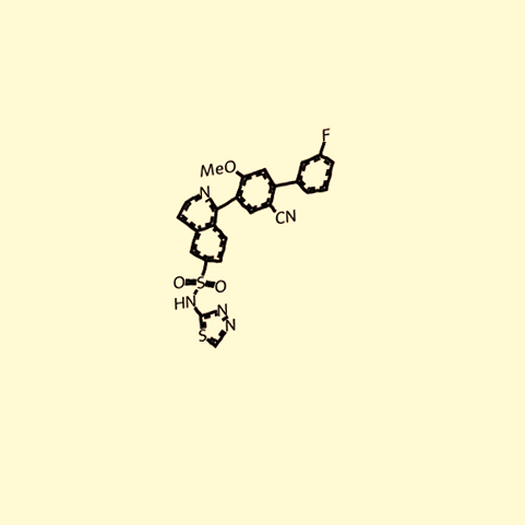 COc1cc(-c2cccc(F)c2)c(C#N)cc1-c1nccc2cc(S(=O)(=O)Nc3nncs3)ccc12